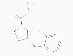 CC(C)(C)OC(=O)N1CC[C@H](Cc2ncccc2F)C1